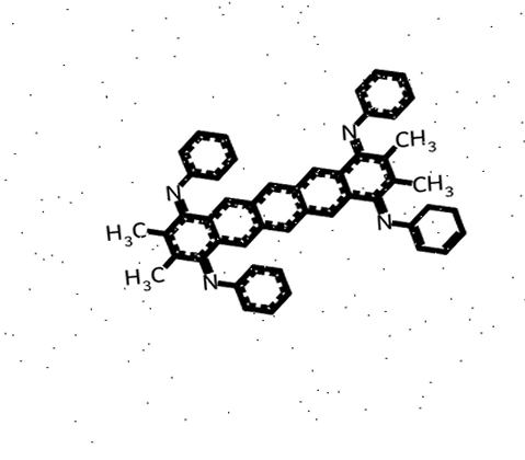 Cc1c(C)/c(=N/c2ccccc2)c2cc3cc4cc5/c(=N/C6=CC=CCC6)c(C)c(C)c(=Nc6ccccc6)c5cc4cc3cc2c1=Nc1ccccc1